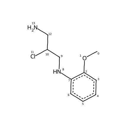 COc1ccccc1NCC(Cl)CN